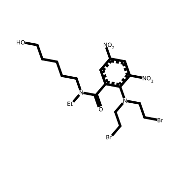 CCN(CCCCCO)C(=O)c1cc([N+](=O)[O-])cc([N+](=O)[O-])c1N(CCBr)CCBr